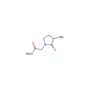 CCCCC1CCN(CC(=O)OC)C1=O